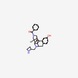 O=C(c1ccccc1)N1C[C@H]2CC34CCC1C2C31CCN(CC2CCN2)C4Cc2ccc(O)cc21